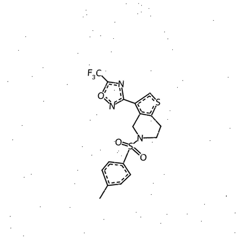 Cc1ccc(S(=O)(=O)N2CCc3scc(-c4noc(C(F)(F)F)n4)c3C2)cc1